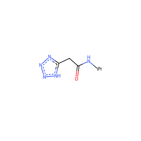 CC(C)NC(=O)Cc1nnn[nH]1